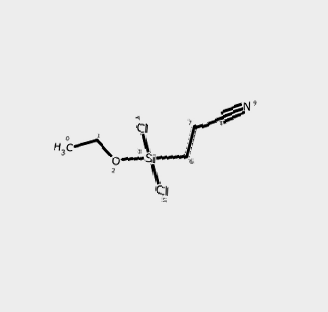 CCO[Si](Cl)(Cl)CCC#N